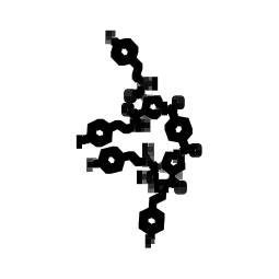 O=C(NCCc1ccc(F)cc1)[C@@H]1CN(C(=O)c2ccc(C(=O)N3C[C@@H](C(=O)NCCc4ccc(F)cc4)[C@H](C(O)NCCc4ccc(F)cc4)C3)cc2)C[C@H]1C(=O)NCCc1ccc(F)cc1